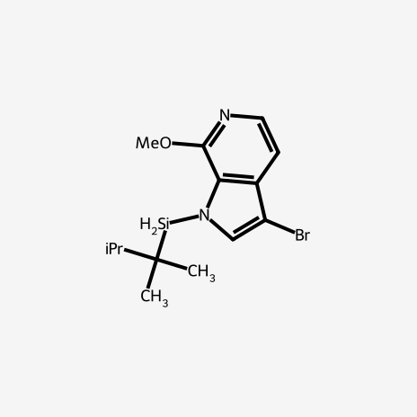 COc1nccc2c(Br)cn([SiH2]C(C)(C)C(C)C)c12